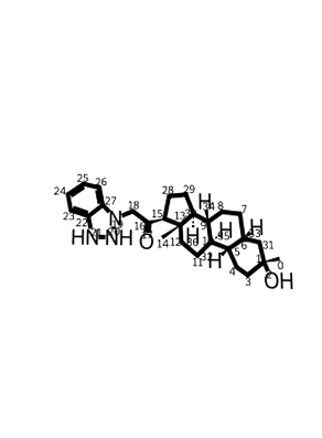 C[C@@]1(O)CC[C@H]2[C@H](CC[C@@H]3[C@@H]2CC[C@]2(C)[C@@H](C(=O)CN4NNc5ccccc54)CC[C@@H]32)C1